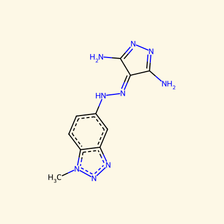 Cn1nnc2cc(NN=C3C(N)=NN=C3N)ccc21